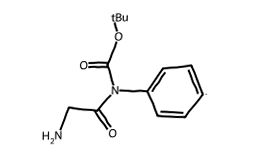 CC(C)(C)OC(=O)N(C(=O)CN)c1cc[c]cc1